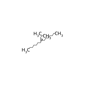 CCCCCCCP(CCCCCCC)CC(C)C